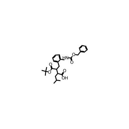 CC(C)CC(C(=O)O)C(Cc1ccccc1CNC(=O)OCc1ccccc1)C(=O)OC(C)(C)C